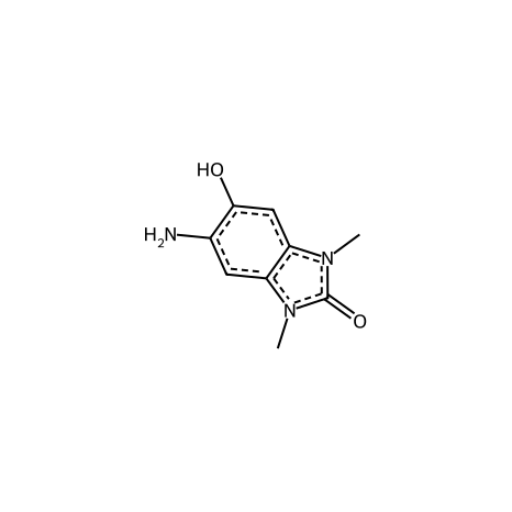 Cn1c(=O)n(C)c2cc(O)c(N)cc21